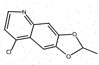 CC1Oc2cc3nccc(Cl)c3cc2O1